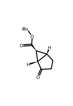 CCC(C)OC(=O)[C@H]1[C@@H]2CCC(=O)[C@@H]21